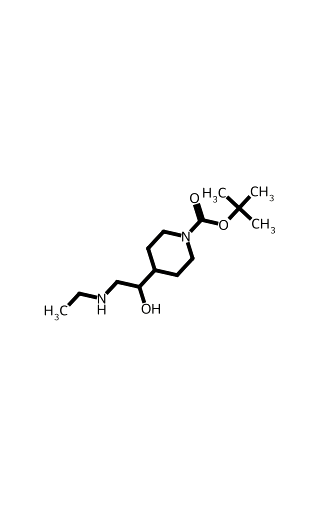 CCNCC(O)C1CCN(C(=O)OC(C)(C)C)CC1